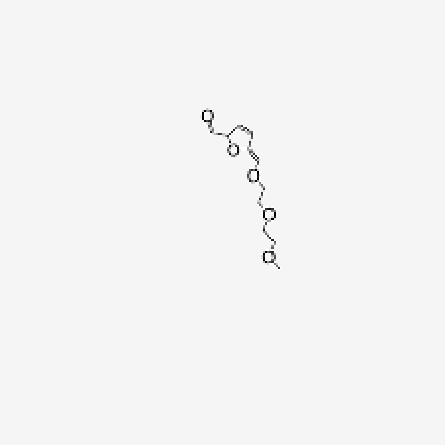 COCCOCCOC=C1C=CC(C=O)O1